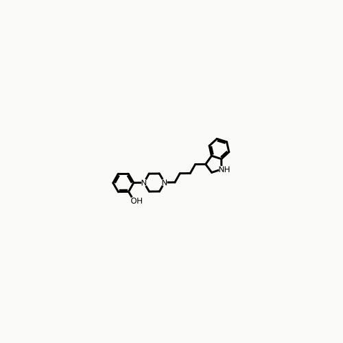 Oc1ccccc1N1CCN(CCCCC2CNc3ccccc32)CC1